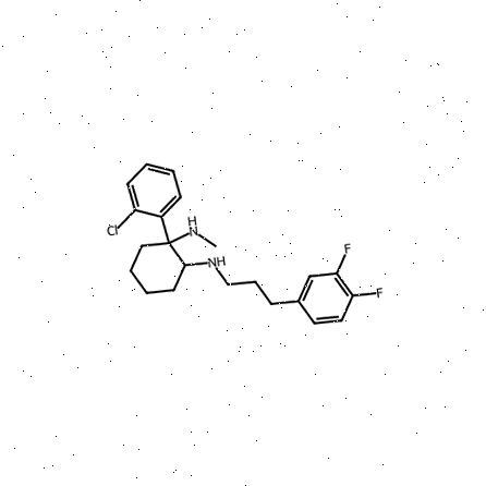 CNC1(c2ccccc2Cl)CCCCC1NCCCc1ccc(F)c(F)c1